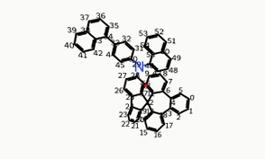 c1ccc2c(c1)-c1ccccc1C1(c3ccccc3-2)c2ccccc2-c2ccc(N(c3ccc(-c4cccc5ccccc45)cc3)c3cccc4ccccc34)cc21